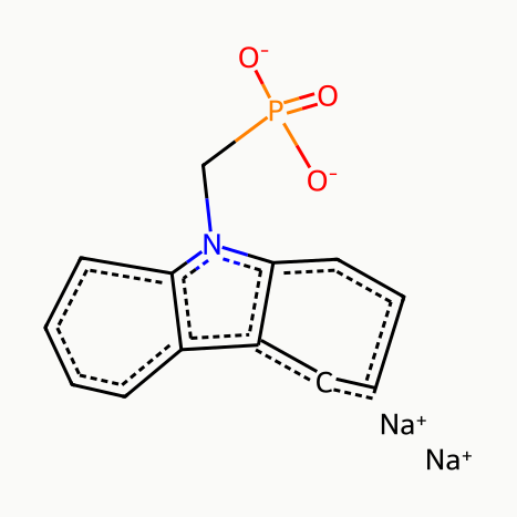 O=P([O-])([O-])Cn1c2ccccc2c2ccccc21.[Na+].[Na+]